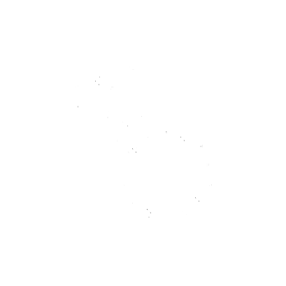 Oc1ccc(CN2CCCNCCNCCCNCC2)c2cccnc12